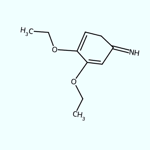 CCOC1=CCC(=N)C=C1OCC